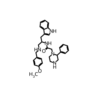 COc1ccc(CNCC(Cc2c[nH]c3ccccc23)NC(=O)CN2CCNCC2c2ccccc2)cc1